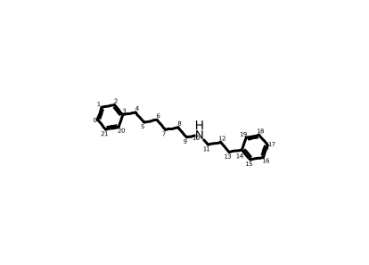 c1ccc(CCCCCCNCCCc2ccccc2)cc1